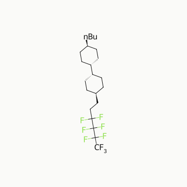 CCCC[C@H]1CC[C@H]([C@H]2CC[C@H](CCC(F)(F)C(F)(F)C(F)(F)C(F)(F)F)CC2)CC1